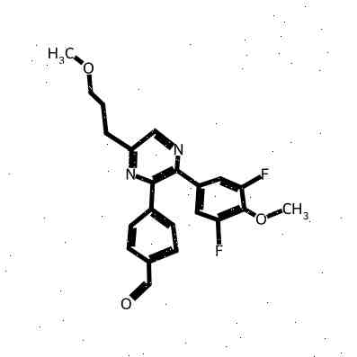 COCCCc1cnc(-c2cc(F)c(OC)c(F)c2)c(-c2ccc(C=O)cc2)n1